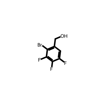 OCc1cc(F)c(F)c(F)c1Br